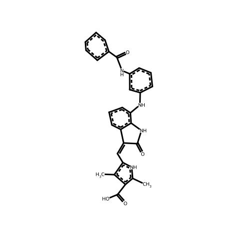 Cc1[nH]c(/C=C2\C(=O)Nc3c(Nc4cccc(NC(=O)c5ccccc5)c4)cccc32)c(C)c1C(=O)O